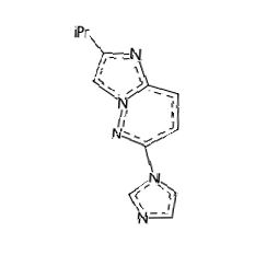 CC(C)c1cn2nc(-n3ccnc3)ccc2n1